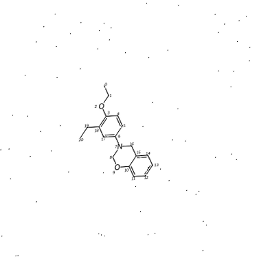 CCOc1ccc(N2COc3ccccc3C2)cc1CC